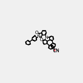 N#Cc1ccc(-c2cccc3c2c2c(-c4ccc(C#N)cc4)cccc2n3-c2cccc3c2C(=O)N(c2ccc(-c4ccccc4)cc2)C3=O)cc1